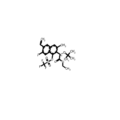 C=Cc1cc2cc(C)c([C@H](OC(C)(C)C)C(=O)OCC)c(OS(=O)(=O)C(F)(F)F)c2cc1F